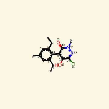 CCc1cc(C)cc(CC)c1-c1c(O)c(Cl)nn(C)c1=O